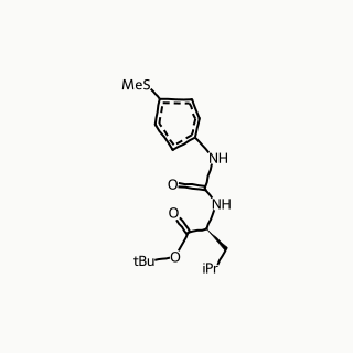 CSc1ccc(NC(=O)N[C@@H](CC(C)C)C(=O)OC(C)(C)C)cc1